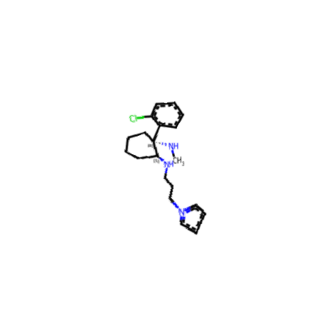 CN[C@@]1(c2ccccc2Cl)CCCC[C@@H]1NCCCn1cccc1